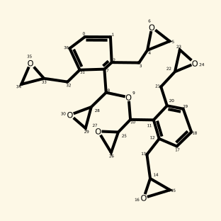 c1cc(CC2CO2)c(C(OC(c2c(CC3CO3)cccc2CC2CO2)C2CO2)C2CO2)c(CC2CO2)c1